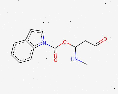 CNC(CC=O)OC(=O)n1ccc2ccccc21